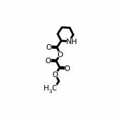 CCOC(=O)C(=O)OC(=O)C1CCCCN1